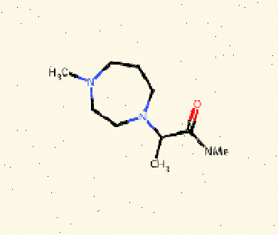 CNC(=O)C(C)N1CCCN(C)CC1